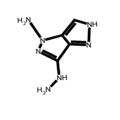 NNc1nn(N)c2c[nH]nc12